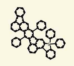 c1ccc(-c2c3cc4c5ccccc5c5cccc(c3c(-c3ccccc3)c3c6cccc7c8c(cc(c23)c76)[Si](c2ccccc2)(c2ccccc2)c2ccccc2-8)c54)cc1